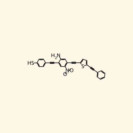 Nc1cc(C#Cc2ccc(C#Cc3ccccc3)s2)c([N+](=O)[O-])cc1C#Cc1ccc(S)cc1